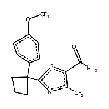 NC(=O)c1sc(C2(c3ccc(OC(F)(F)F)cc3)CCC2)nc1C(F)(F)F